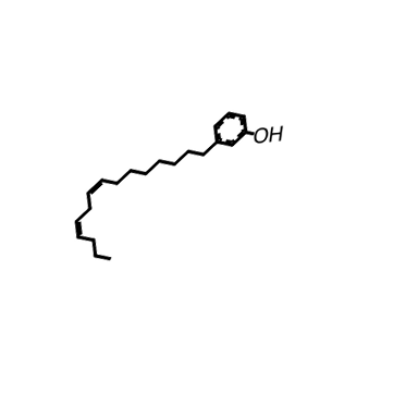 CCC/C=C\C/C=C\CCCCCCCc1cccc(O)c1